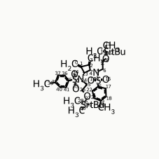 C=C1C(=C)[C@H](N(CCO[Si](C)(C)C(C)(C)C)S(=O)(=O)c2ccc(C)cc2)[C@H]1N(CCO[Si](C)(C)C(C)(C)C)S(=O)(=O)c1ccc(C)cc1